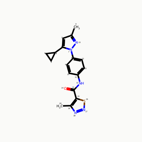 Cc1cc(C2CC2)n(-c2ccc(NC(=O)c3snnc3C)cc2)n1